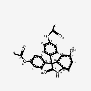 CC(=O)Oc1ccc(C2(c3ccc(OC(C)=O)cc3)C(=O)Nc3ccc(O)cc32)cc1